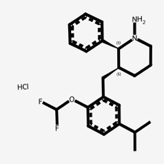 CC(C)c1ccc(OC(F)F)c(C[C@@H]2CCCN(N)[C@@H]2c2ccccc2)c1.Cl